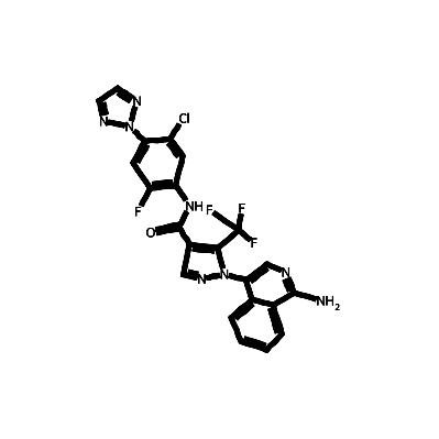 Nc1ncc(-n2ncc(C(=O)Nc3cc(Cl)c(-n4nccn4)cc3F)c2C(F)(F)F)c2ccccc12